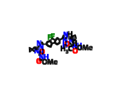 COC(=O)NCC(=O)N1CC2(CC2)C[C@H]1c1ncc(-c2ccc3c(c2)C(F)(F)c2cc(-c4cnc([C@@H]5[C@H]6CC[C@H](C6)N5C(=O)C(C)NC(=O)OC)[nH]4)ccc2-3)[nH]1